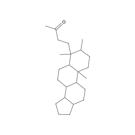 CC(=O)CCC1(C)C(C)CCC2(C)C3CCC4CCCC4C3CCC12